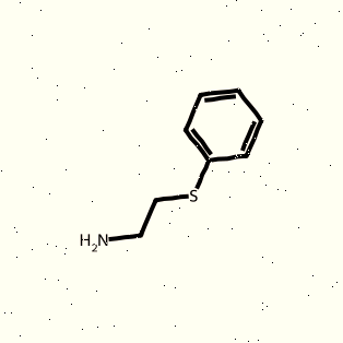 NCCSc1ccccc1